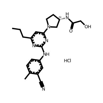 CCCc1cc(N2CC[C@H](NC(=O)CO)C2)nc(Nc2ccc(C)c(C#N)c2)n1.Cl